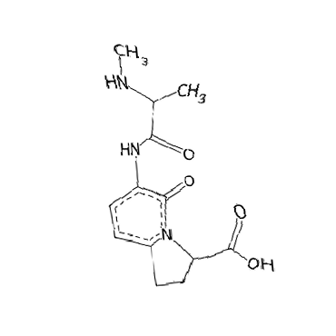 CNC(C)C(=O)Nc1ccc2n(c1=O)C(C(=O)O)CC2